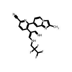 Cc1cn2ccc(-c3nc(C#N)ccc3/C(C=N)=C/NCC(F)(F)C(F)F)cc2n1